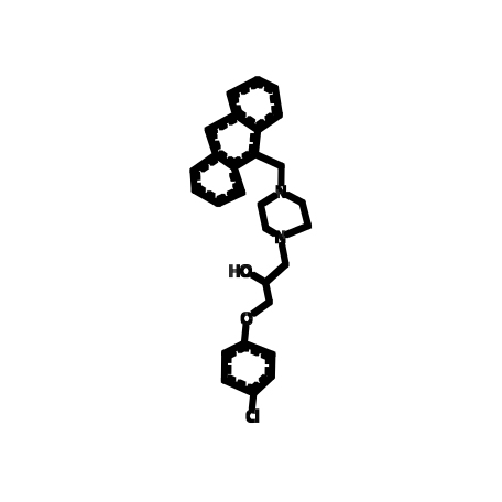 OC(COc1ccc(Cl)cc1)CN1CCN(Cc2c3ccccc3cc3ccccc23)CC1